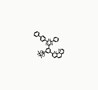 CC1(C)OB(c2cc(-c3ccc4ccc5cccnc5c4n3)cc(-c3nc(-c4ccccc4)nc(-c4ccc(-c5ccccc5)cc4)n3)c2)OC1(C)C